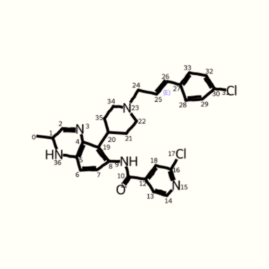 CC1C=Nc2c(ccc(NC(=O)c3ccnc(Cl)c3)c2C2CCN(C/C=C/c3ccc(Cl)cc3)CC2)N1